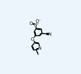 Cc1ccc(Oc2cc(C#N)cc([N+](=O)[O-])c2)cn1